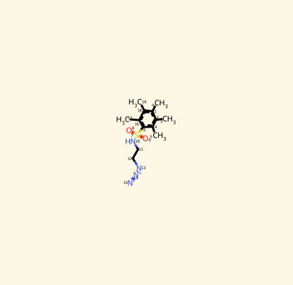 Cc1c(C)c(C)c(S(=O)(=O)NCCN=[N+]=[N-])c(C)c1C